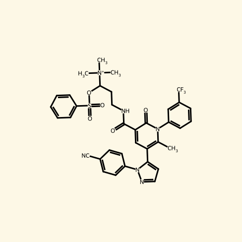 Cc1c(-c2ccnn2-c2ccc(C#N)cc2)cc(C(=O)NCCC(OS(=O)(=O)c2ccccc2)[N+](C)(C)C)c(=O)n1-c1cccc(C(F)(F)F)c1